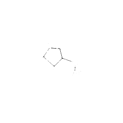 CC(=O)O[C]1CCCC1